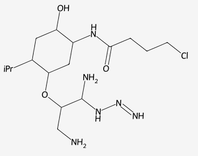 CC(C)C1CC(O)C(NC(=O)CCCCl)CC1OC(CN)C(N)NN=N